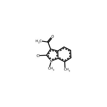 CC(=O)c1c(Cl)n(C)c2c(C)cccc12